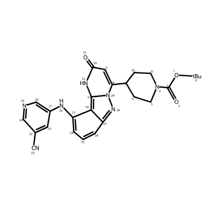 CC(C)(C)OC(=O)N1CCC(c2cc(=O)[nH]c3c4c(Nc5cncc(C#N)c5)cccc4nn23)CC1